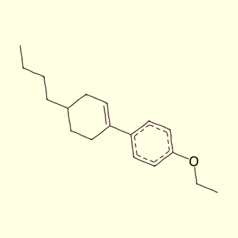 CCCCC1CC=C(c2ccc(OCC)cc2)CC1